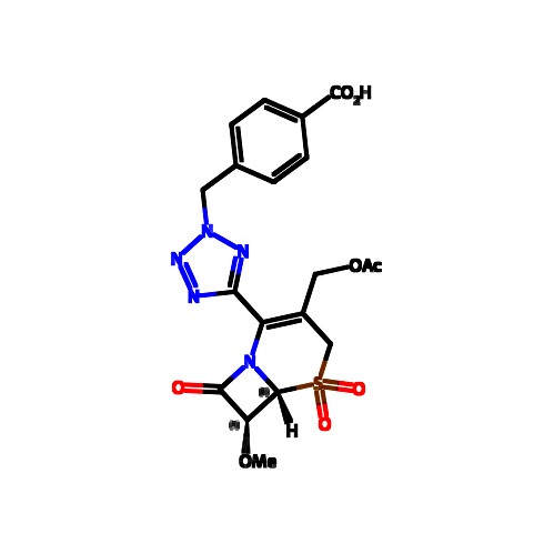 CO[C@H]1C(=O)N2C(c3nnn(Cc4ccc(C(=O)O)cc4)n3)=C(COC(C)=O)CS(=O)(=O)[C@H]12